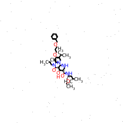 CCOC[C@@H](CC(C)C)NC(=O)[C@@H]1CNC[C@H](C(=O)N(CC(C)C)c2cc(OCCCOCc3ccccc3)c(C(C)C)cn2)[C@@H]1O